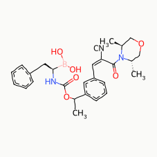 CC(OC(=O)N[C@@H](Cc1ccccc1)B(O)O)c1cccc(C=C(C#N)C(=O)N2[C@@H](C)COC[C@@H]2C)c1